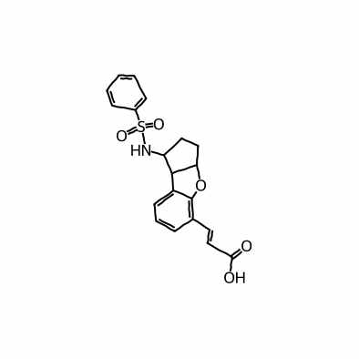 O=C(O)/C=C/c1cccc2c1OC1CCC(NS(=O)(=O)c3ccccc3)C21